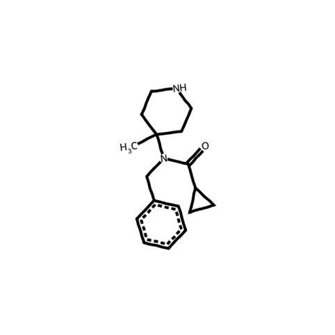 CC1(N(Cc2ccccc2)C(=O)C2CC2)CCNCC1